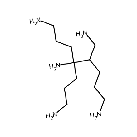 NCCCC(CN)C(N)(CCCN)CCCN